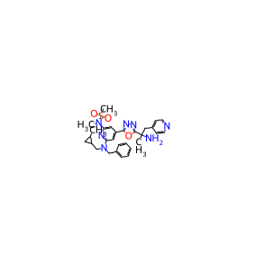 CC1CC1CN(Cc1ccccc1)c1cc(-c2nnc(C(C)(N)Cc3ccncc3)o2)cc(N(C)S(C)(=O)=O)n1